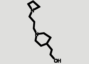 OCCC1CCN(CCCN2CCC2)CC1